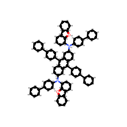 c1ccc(-c2ccc(-c3c4ccc(N(c5ccc(-c6ccccc6)cc5)c5cccc6c5oc5ccccc56)cc4c(-c4ccc(-c5ccccc5)cc4)c4ccc(N(c5ccc(-c6ccccc6)cc5)c5cccc6c5oc5ccccc56)cc34)cc2)cc1